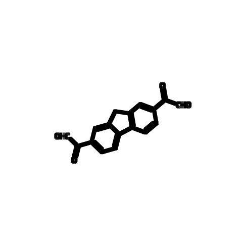 O=CC(=O)c1ccc2c(c1)Cc1cc(C(=O)C=O)ccc1-2